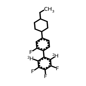 [2H]c1c(F)c(F)c(F)c([2H])c1-c1ccc(C2CCC(CC)CC2)cc1F